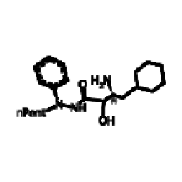 CCCCCN(NC(=O)C(O)[C@H](N)CC1CCCCC1)c1ccccc1